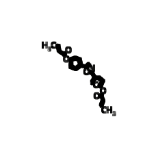 CC=CC(=O)Oc1ccc(-c2cnc(-c3ccc(OC(=O)C=CC)cc3)o2)cc1